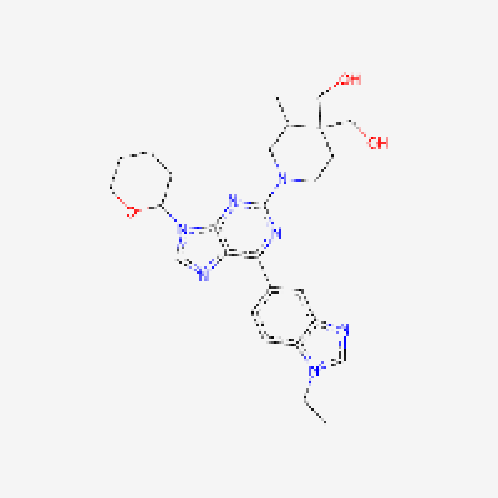 CCn1cnc2cc(-c3nc(N4CCC(CO)(CO)C(C)C4)nc4c3ncn4C3CCCCO3)ccc21